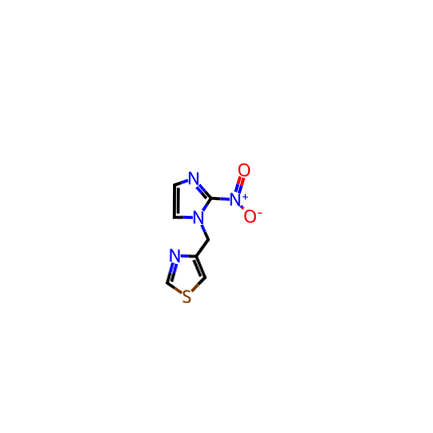 O=[N+]([O-])c1nccn1Cc1cscn1